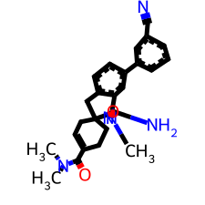 CN(C)C(=O)C1=CCC2(CC1)Cc1ccc(-c3cccc(C#N)c3)cc1C21N=C(N)N(C)O1